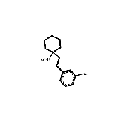 COc1cccc(CCC2(NC(C)=O)CCCCC2)c1